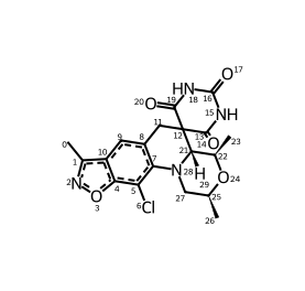 Cc1noc2c(Cl)c3c(cc12)CC1(C(=O)NC(=O)NC1=O)[C@@H]1[C@@H](C)O[C@@H](C)CN31